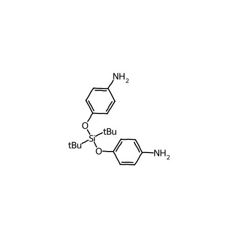 CC(C)(C)[Si](Oc1ccc(N)cc1)(Oc1ccc(N)cc1)C(C)(C)C